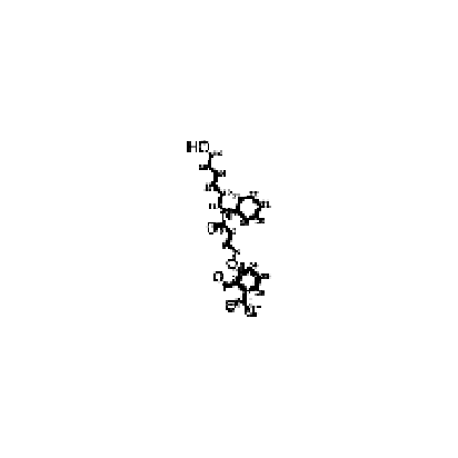 O=Cc1c(OCCCC(=O)N(CCCCCCO)C2CCCCC2)cccc1[N+](=O)[O-]